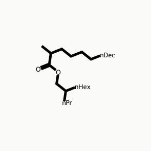 CCCCCCCCCCCCCCC(C)C(=O)OCC(CCC)CCCCCC